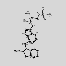 COC1Cc2ccccc2C1Nc1ncnc2c1ncn2C[C@H](O)[C@@H](COS(N)(=O)=O)OC